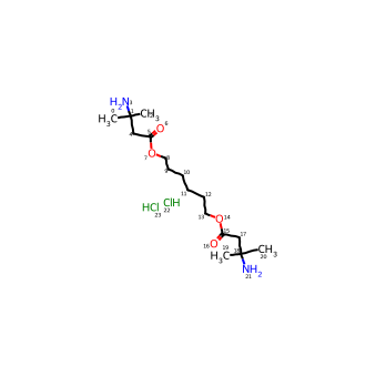 CC(C)(N)CC(=O)OCCCCCCOC(=O)CC(C)(C)N.Cl.Cl